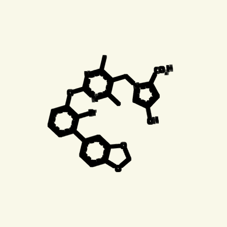 Cc1nc(Oc2cccc(-c3ccc4c(c3)OCO4)c2Br)nc(C)c1Cn1cc(O)cc1C(=O)O